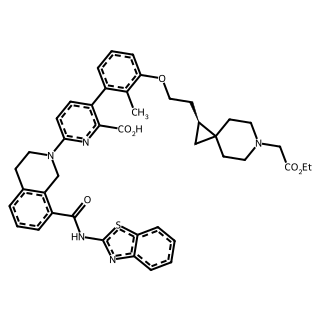 CCOC(=O)CN1CCC2(CC1)C[C@H]2CCOc1cccc(-c2ccc(N3CCc4cccc(C(=O)Nc5nc6ccccc6s5)c4C3)nc2C(=O)O)c1C